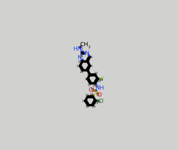 CNc1ncc2cc(-c3ccc(NS(=O)(=O)c4ccccc4Cl)c(F)c3)ccc2n1